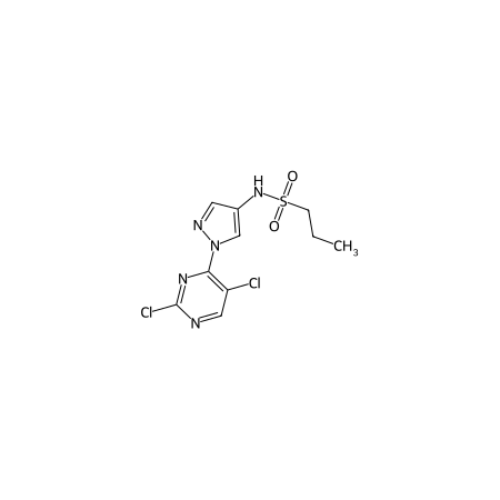 CCCS(=O)(=O)Nc1cnn(-c2nc(Cl)ncc2Cl)c1